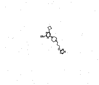 CC(C)(C)c1nc(C2CCC2)cc(N2CCN(CCCOc3nncs3)CC2)n1